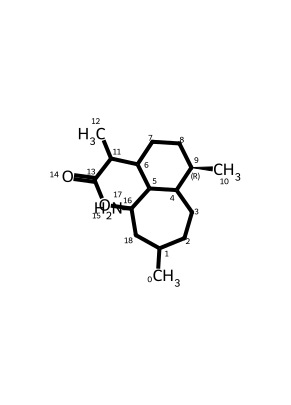 CC1CCC2C3C(CC[C@H]2C)C(C)C(=O)OC3(N)C1